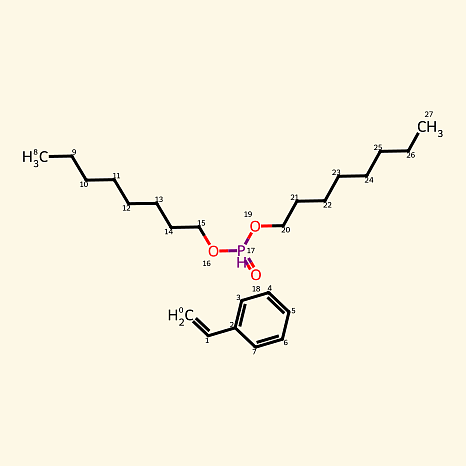 C=Cc1ccccc1.CCCCCCCCO[PH](=O)OCCCCCCCC